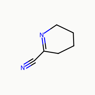 N#CC1=NCCCC1